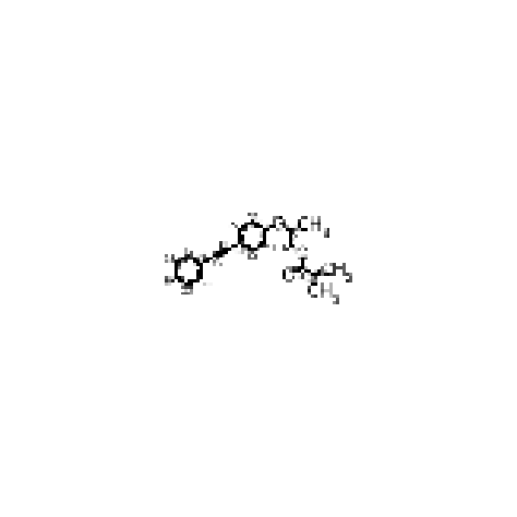 C=C(C)C(=O)OC[C@@H](C)Oc1ccc(C#Cc2ccccc2)cc1